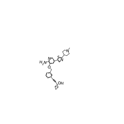 CN1CCC(c2ncc(-c3cnc(N)c(OCc4cccc(C#CC5(O)C6CC65)c4)c3)s2)CC1